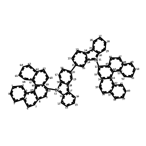 c1ccc2c(c1)ccc1cc(-n3c4ccccc4c4cc(-c5ccc6c7ccccc7n(-c7cc8ccc9ccccc9c8c8c7ccc7ccccc78)c6c5)ccc43)c3ccc4ccccc4c3c12